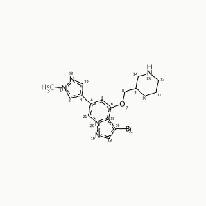 Cn1cc(-c2cc(OCC3CCCNC3)c3c(Br)cnn3c2)cn1